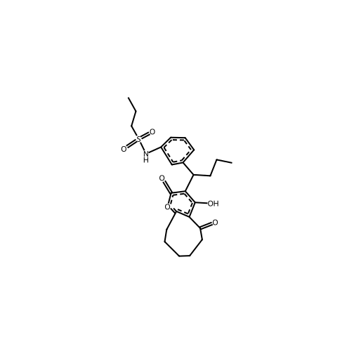 CCCC(c1cccc(NS(=O)(=O)CCC)c1)c1c(O)c2c(oc1=O)CCCCCC2=O